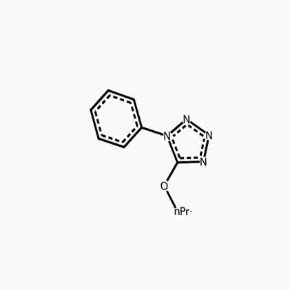 CC[CH]Oc1nnnn1-c1ccccc1